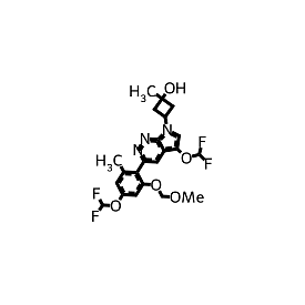 COCOc1cc(OC(F)F)cc(C)c1-c1cc2c(OC(F)F)cn(C3CC(C)(O)C3)c2nn1